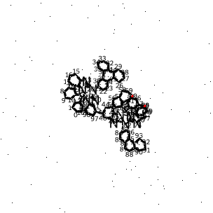 c1ccc([Si]2(c3ccccc3)n3c(nc4ccccc43)N(c3ccc4c5ccccc5c5ccccc5c4c3)c3nc4c(-c5ccc6c(c5)nc5n6[Si](c6cccc7ccccc67)(c6cccc7ccccc67)n6c(nc7ccccc76)N5c5ccc6ccc7ccccc7c6c5)cccc4n32)cc1